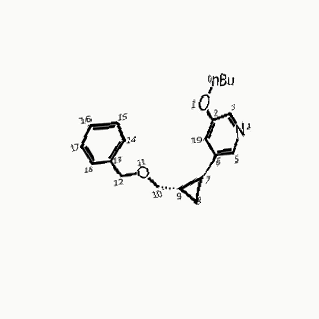 CCCCOc1cncc([C@H]2C[C@@H]2COCc2ccccc2)c1